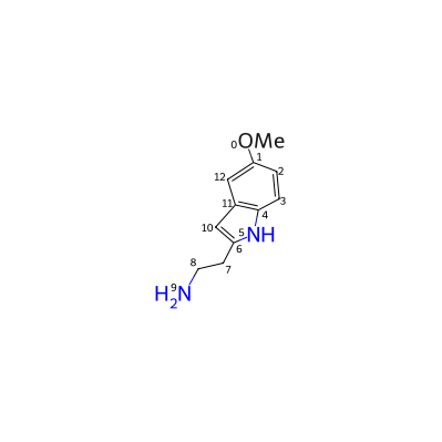 COc1ccc2[nH]c(CCN)cc2c1